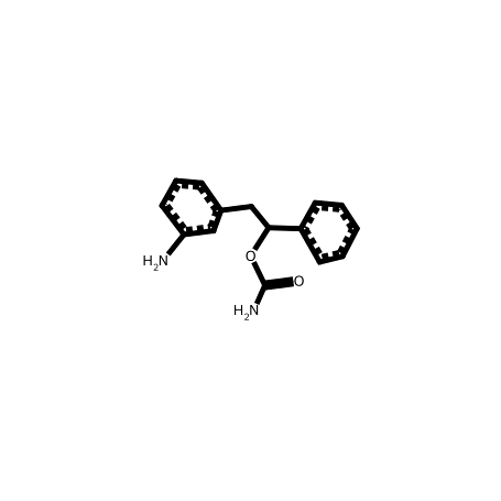 NC(=O)OC(Cc1cccc(N)c1)c1ccccc1